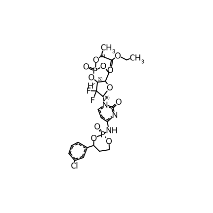 CCOC(=O)[C@H](C)OP1(=O)OCC2O[C@@H](n3ccc(NP4(=O)OCCC(c5cccc(Cl)c5)O4)nc3=O)C(F)(F)[C@H]2O1